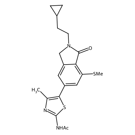 CSc1cc(-c2sc(NC(C)=O)nc2C)cc2c1C(=O)N(CCC1CC1)C2